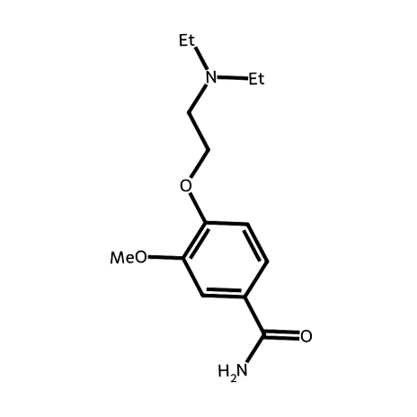 CCN(CC)CCOc1ccc(C(N)=O)cc1OC